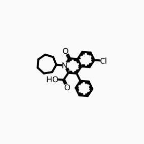 O=C(O)c1c(-c2ccccc2)c2cc(Cl)ccc2c(=O)n1C1CCCCCC1